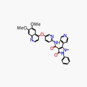 COc1cc2nccc(Oc3ccc(NC(=O)c4c(-c5ccncc5)n(C)n(-c5ccccc5)c4=O)nc3)c2cc1OC